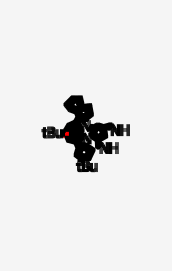 CC(C)(C)c1ccc2c(c1)c1cc(C(C)(C)C)ccc1n2-c1c(C=N)cc(C=N)cc1-n1c2ccccc2c2c3ccccc3ccc21